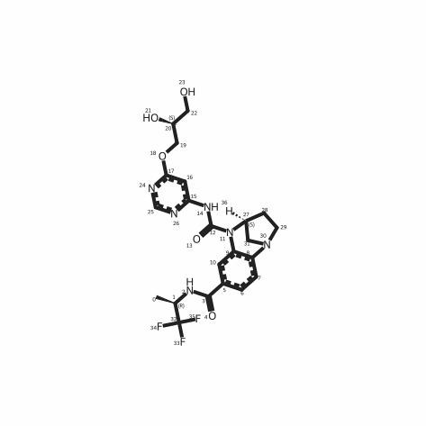 C[C@@H](NC(=O)c1ccc2c(c1)N(C(=O)Nc1cc(OC[C@@H](O)CO)ncn1)[C@H]1CCN2C1)C(F)(F)F